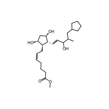 COC(=O)CCC/C=C\C[C@@H]1[C@@H](/C=C/C(O)C(C)CC2CCCC2)[C@H](O)C[C@@H]1O